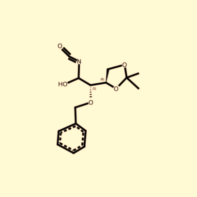 CC1(C)OC[C@H]([C@H](OCc2ccccc2)C(O)N=C=O)O1